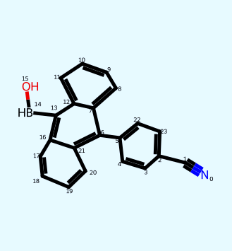 N#Cc1ccc(-c2c3ccccc3c(BO)c3ccccc23)cc1